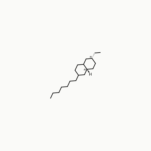 CCCCCCCC1CCC2C[C@H](CC)CC[C@@H]2C1